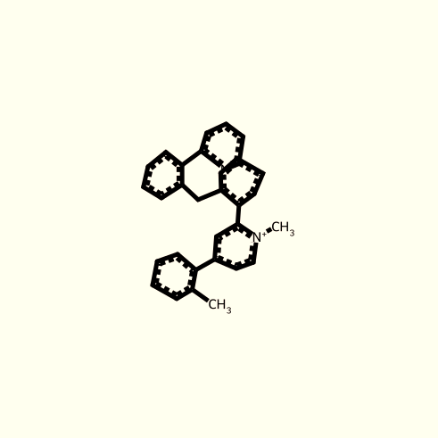 Cc1ccccc1-c1cc[n+](C)c(-c2ccccc2Cc2ccccc2-c2ccccn2)c1